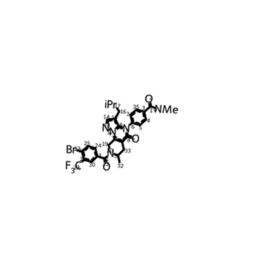 CNC(=O)c1ccc(-n2c(=O)c3c(n4ncc(CC(C)C)c24)CN(C(=O)c2ccc(Br)c(C(F)(F)F)c2)C(C)C3)cc1